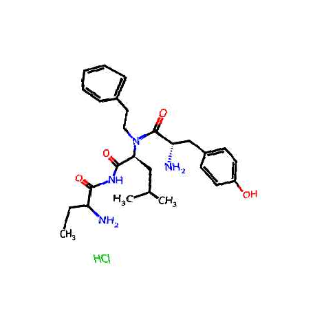 CCC(N)C(=O)NC(=O)[C@H](CC(C)C)N(CCc1ccccc1)C(=O)[C@@H](N)Cc1ccc(O)cc1.Cl